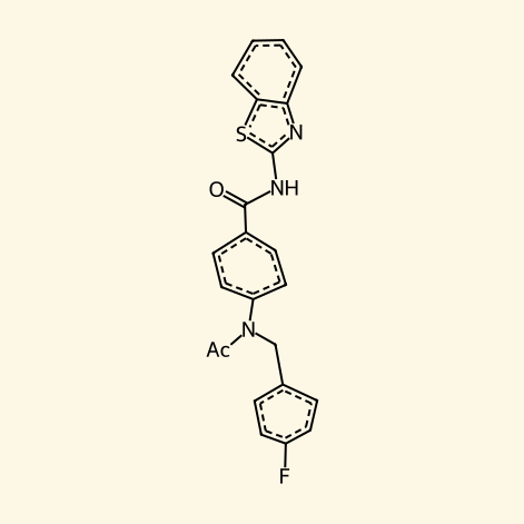 CC(=O)N(Cc1ccc(F)cc1)c1ccc(C(=O)Nc2nc3ccccc3s2)cc1